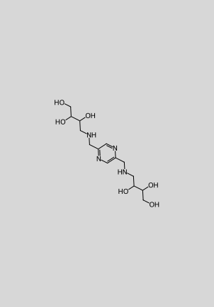 OCC(O)C(O)CNCc1cnc(CNCC(O)C(O)CO)cn1